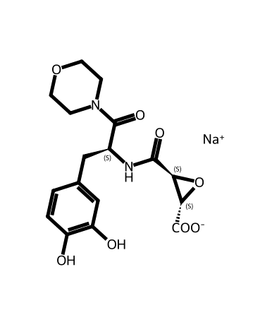 O=C([O-])[C@H]1O[C@@H]1C(=O)N[C@@H](Cc1ccc(O)c(O)c1)C(=O)N1CCOCC1.[Na+]